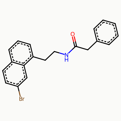 O=C(Cc1ccccc1)NCCc1cccc2ccc(Br)cc12